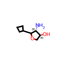 N[C@H]1C(C2CCC2)OC[C@@H]1O